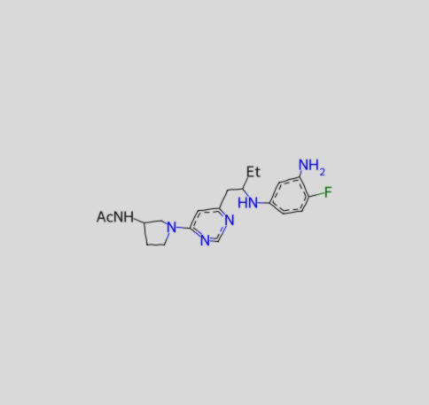 CCC(Cc1cc(N2CCC(NC(C)=O)C2)ncn1)Nc1ccc(F)c(N)c1